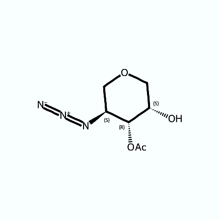 CC(=O)O[C@@H]1[C@@H](N=[N+]=[N-])COC[C@@H]1O